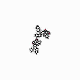 c1ccc(-n2c3ccc4c(c3c3ccc5ccccc5c32)Sc2ccccc2C42c3ccccc3-c3cc(-c4cccc5c4ccc4c6c7c(ccc6n(-c6ccc8ccccc8c6)c54)C4(c5ccccc5S7)c5ccccc5-c5ccccc54)ccc32)cc1